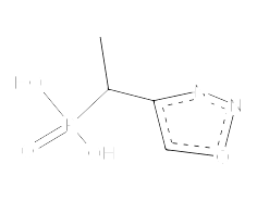 CC(c1conn1)P(=O)(O)O